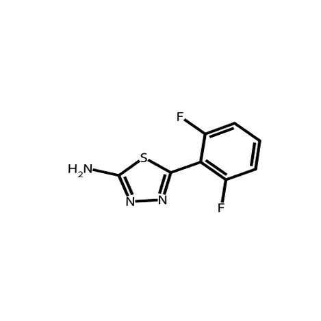 Nc1nnc(-c2c(F)cccc2F)s1